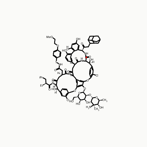 CC[C@@H](CC(C)C)C(=O)N[C@H]1C(=O)C[C@@H](CC(=O)NSc2ccc(OCCOC)cc2)C(=O)N[C@H]2C(=O)C[C@@H]3C(=O)N[C@@H](C(=O)N[C@H](C(=O)CC4C5CC6CC(C5)CC4C6)c4cc(O)cc(O)c4-c4cc3ccc4O)[C@@H](O)c3ccc(c(Cl)c3)Oc3cc2cc(c3O[C@@H]2O[C@H](CO)[C@H](O)[C@H](O)[C@@H]2O[C@H]2C[C@](C)(N)[C@H](O)[C@H](C)O2)Oc2ccc(cc2Cl)[C@H]1O